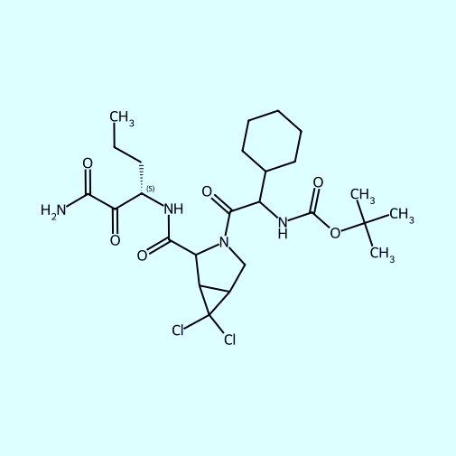 CCC[C@H](NC(=O)C1C2C(CN1C(=O)C(NC(=O)OC(C)(C)C)C1CCCCC1)C2(Cl)Cl)C(=O)C(N)=O